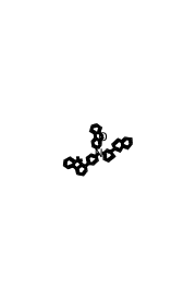 CC1(C)c2ccccc2-c2cccc(-c3ccc(N(c4cccc(-c5ccc6ccccc6c5)c4)c4ccc5c(c4)oc4ccccc45)cc3)c21